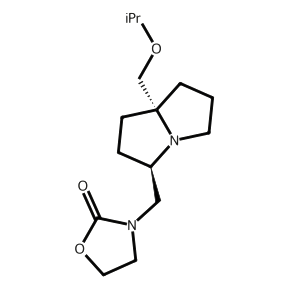 CC(C)OC[C@]12CCCN1[C@@H](CN1CCOC1=O)CC2